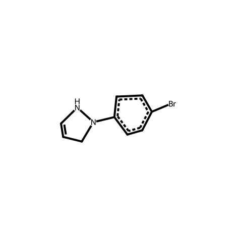 Brc1ccc(N2CC=CN2)cc1